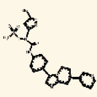 CC(C)(C)c1cc(N(OS(C)(=O)=O)C(=O)Nc2ccc(-c3cnc4cc(-c5cccnc5)ccn34)cc2)no1